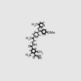 COc1ccc(N(Cc2cnccc2C)C2CCN([C@H](C)CCNC(=O)c3cc(C)c(C(=O)NC(C)C)c(C)c3)CC2)cc1